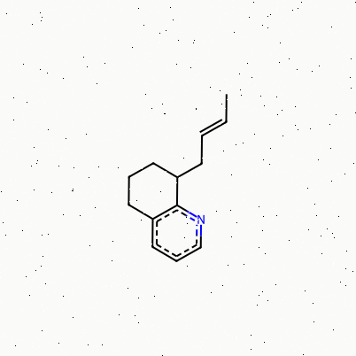 CC=CCC1CCCc2cccnc21